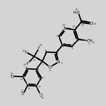 Cc1cc(C2=NOC(c3cc(Cl)c(Cl)c(Cl)c3)(C(F)(F)F)C2)cnc1C(=O)O